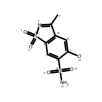 CC1=NS(=O)(=O)c2cc(S(N)(=O)=O)c(Cl)cc21